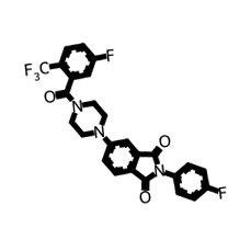 O=C(c1cc(F)ccc1C(F)(F)F)N1CCN(c2ccc3c(c2)C(=O)N(c2ccc(F)cc2)C3=O)CC1